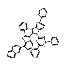 c1ccc(-c2ccc3c(c2)c2c4ccccc4c4sc5c(-c6ccc7ccccc7c6)cccc5c4c2n3-c2nc(-c3ccccc3)nc(-c3ccccc3)n2)cc1